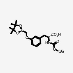 CC(C)(C)OC(=O)N[C@H](Cc1cccc(OCB2OC(C)(C)C(C)(C)O2)c1)C(=O)O